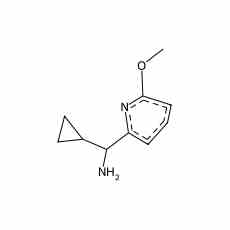 COc1cccc(C(N)C2CC2)n1